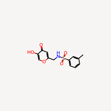 Cc1cccc(S(=O)(=O)NCc2cc(=O)c(O)co2)c1